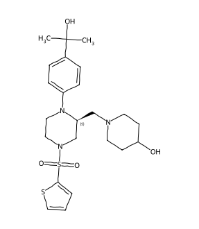 CC(C)(O)c1ccc(N2CCN(S(=O)(=O)c3cccs3)C[C@@H]2CN2CCC(O)CC2)cc1